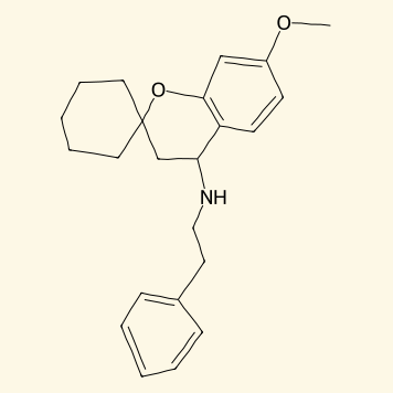 COc1ccc2c(c1)OC1(CCCCC1)CC2NCCc1ccccc1